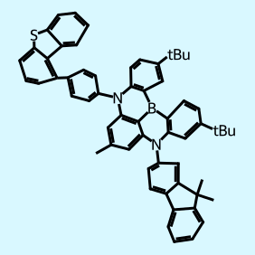 Cc1cc2c3c(c1)N(c1ccc4c(c1)C(C)(C)c1ccccc1-4)c1cc(C(C)(C)C)ccc1B3c1cc(C(C)(C)C)ccc1N2c1ccc(-c2cccc3sc4ccccc4c23)cc1